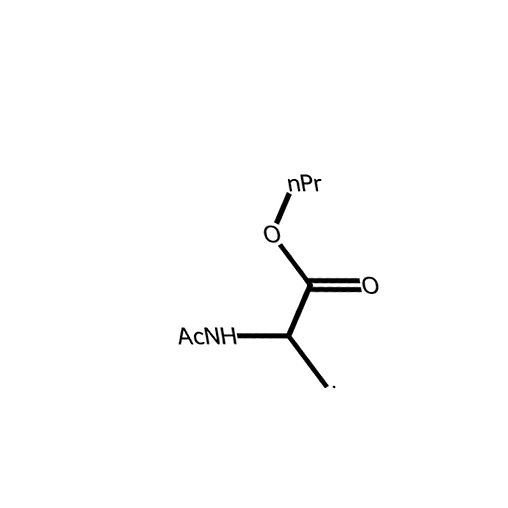 [CH2]C(NC(C)=O)C(=O)OCCC